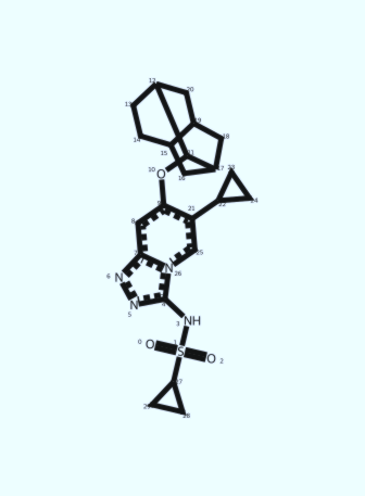 O=S(=O)(Nc1nnc2cc(OC3C4CCC5CC3CC5C4)c(C3CC3)cn12)C1CC1